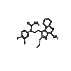 CCCn1nc2c(N)nc3ccccc3c2c1CCN(C(N)=O)c1ccc(F)c(F)c1